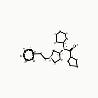 O=C(C1CCCC1)N(C1CCCCC1)[C@H]1CCN(CCc2ccccc2)C1